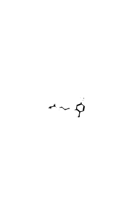 CNc1ccc(C(=O)O)c(OCCCNC(=O)C(F)(F)F)c1